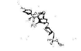 CC(=O)c1ccc(S(=O)(=O)Nc2noc3cc(Cn4cc(CNC(=O)OC(C)(C)C)cn4)cc(C)c23)cc1